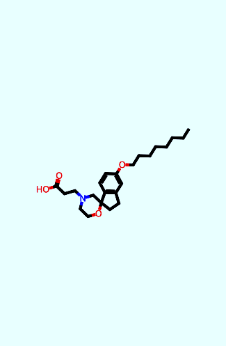 CCCCCCCCOc1ccc2c(c1)CCC21CN(CCC(=O)O)CCO1